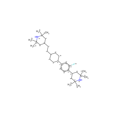 CC1(C)CC(CCC2CCC(c3ccc(C4CC(C)(C)NC(C)(C)C4)c(F)c3)CC2)CC(C)(C)N1